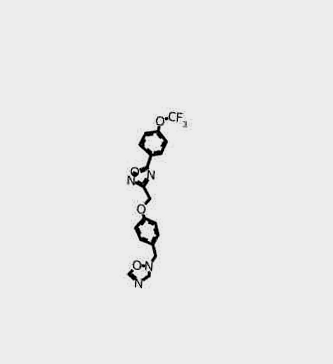 FC(F)(F)Oc1ccc(-c2nc(COc3ccc(CN4CN=CO4)cc3)no2)cc1